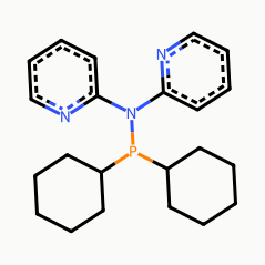 c1ccc(N(c2ccccn2)P(C2CCCCC2)C2CCCCC2)nc1